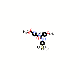 COC(=O)c1ccc(C(=O)N(C)C(C(=O)Nc2ccc(S(C)(C)C)cc2)c2ccc(OC)cc2)cn1